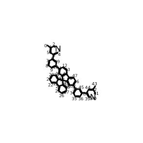 Cc1cncc(-c2cccc(-c3ccc4c(c3)C3(c5ccccc5-c5ccccc53)c3cc(-c5cccc(-c6cncc(C)c6)c5)ccc3-4)c2)c1